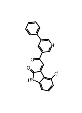 O=C1Nc2cccc(Cl)c2/C1=C/C(=O)c1cncc(-c2ccccc2)c1